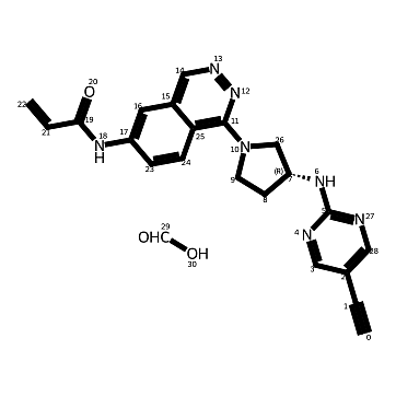 C#Cc1cnc(N[C@@H]2CCN(c3nncc4cc(NC(=O)C=C)ccc34)C2)nc1.O=CO